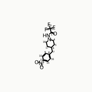 O=C(NN1CCC(Cc2ccc([N+](=O)[O-])cc2)CC1)C(F)(F)F